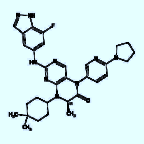 C[C@@H]1C(=O)N(c2ccc(N3CCCC3)nc2)c2cnc(Nc3cc(F)c4[nH]ncc4c3)nc2N1C1CCC(C)(C)CC1